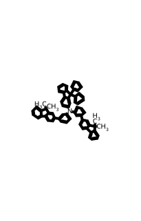 CC1(C)c2ccccc2-c2ccc(-c3cccc(N(c4cccc(-c5ccc6c(c5)C(C)(C)c5ccccc5-6)c4)c4ccc5c(c4)C(c4ccccc4)(c4ccccc4)c4ccccc4-5)c3)cc21